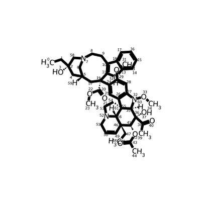 CC[C@]1(O)C[C@@H]2CN(CCc3c([nH]c4ccccc34)[C@@](C(=O)OC)(c3cc4c(cc3OC)N(OC)[C@H]3[C@@](O)(C(C)=O)[C@H](OC(C)=O)[C@]5(CC)C=CCN6CC[C@]43[C@@H]65)C2)C1